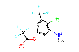 CNc1cccc(C(F)(F)F)c1Cl.O=C(O)C(F)(F)F